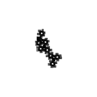 c1ccc(-c2nc3cccc4c5c(-n6c7ccccc7c7cc(-c8ccc9c(c8)c8ccccc8n9-c8ccccc8)ccc76)cccc5c2n34)cc1